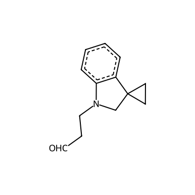 O=CCCN1CC2(CC2)c2ccccc21